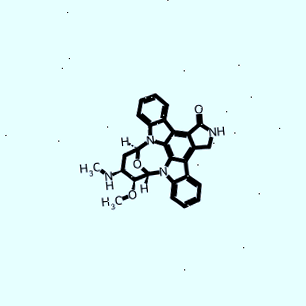 CN[C@H]1C[C@@H]2O[C@@H]([C@H]1OC)n1c3ccccc3c3c4c(c5c6ccccc6n2c5c31)C(=O)NC4